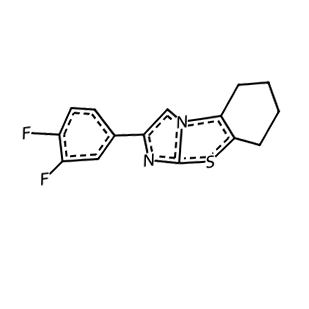 Fc1ccc(-c2cn3c4c(sc3n2)CCCC4)cc1F